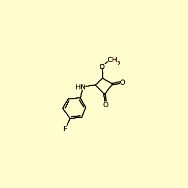 COC1C(=O)C(=O)C1Nc1ccc(F)cc1